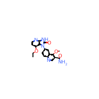 CCOc1ccnc2[nH]c(=O)n(-c3ccc4ncc(C(N)=O)c(OC)c4c3)c12